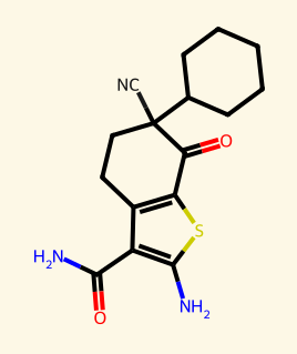 N#CC1(C2CCCCC2)CCc2c(sc(N)c2C(N)=O)C1=O